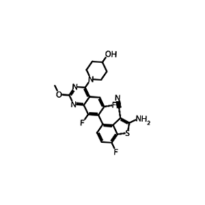 COc1nc(N2CCC(O)CC2)c2cc(F)c(-c3ccc(F)c4sc(N)c(C#N)c34)c(F)c2n1